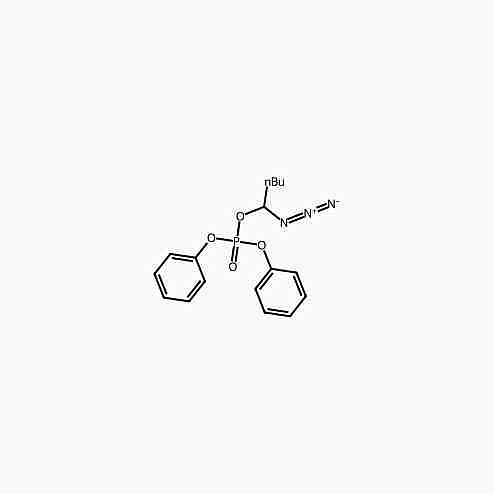 CCCCC(N=[N+]=[N-])OP(=O)(Oc1ccccc1)Oc1ccccc1